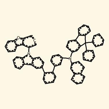 c1ccc(C2(c3ccccc3)c3ccccc3-c3ccc(N(c4cccc(-c5ccccc5-c5ccc6c(c5)c5ccccc5n6-c5cccc6oc7ccccc7c56)c4)c4ccc5ccccc5c4)cc32)cc1